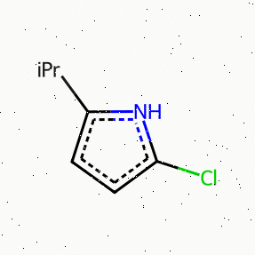 CC(C)c1ccc(Cl)[nH]1